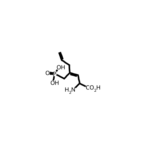 C=CC/C(=C/C(N)C(=O)O)CP(=O)(O)O